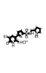 CCc1cc(-c2ccc(S(=O)(=O)NCC3CCCN3CC)s2)c(C)[nH]c1=O.Cl